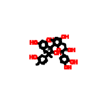 CC1=C(O)CC(C(C)(C)[C@H](O)[C@@H](c2c(C)cc(O)cc2O)c2c(C)cc(O)c3c2O[C@H](c2ccc(O)c(O)c2)[C@@H](O)C3)C=C1